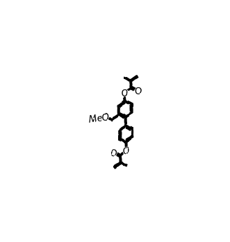 C=C(C)C(=O)Oc1ccc(-c2ccc(OC(=O)C(=C)C)cc2COC)cc1